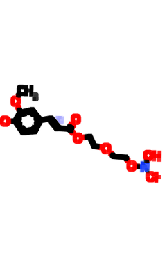 COc1cc(/C=C/C(=O)OCCOCCON(O)O)ccc1O